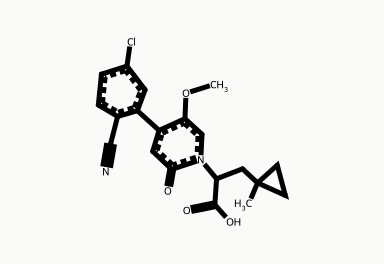 COc1cn(C(CC2(C)CC2)C(=O)O)c(=O)cc1-c1cc(Cl)ccc1C#N